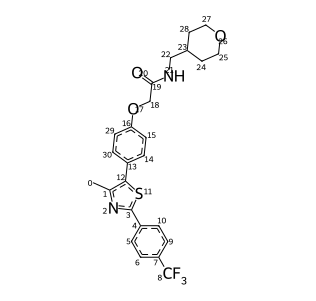 Cc1nc(-c2ccc(C(F)(F)F)cc2)sc1-c1ccc(OCC(=O)NCC2CCOCC2)cc1